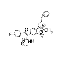 CS(=O)(=O)N(CCCn1cccc1)c1cc2oc(-c3ccc(F)cc3)c(C3=NOCCN3)c2cc1C1CC1